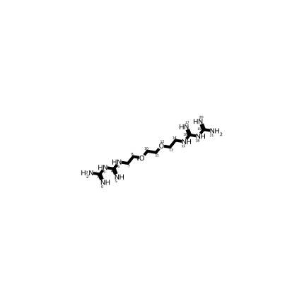 N=C(N)NC(=N)NCCOCCOCCNC(=N)NC(=N)N